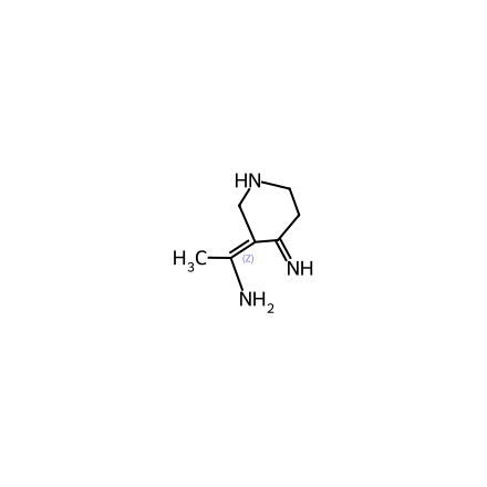 C/C(N)=C1\CNCCC1=N